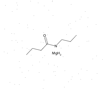 CCC[N]C(=O)CCC.[MgH2]